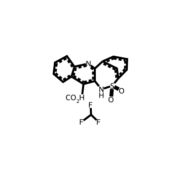 FC(F)F.O=C(O)c1c2c(nc3ccccc13)-c1cccc(c1)S(=O)(=O)N2